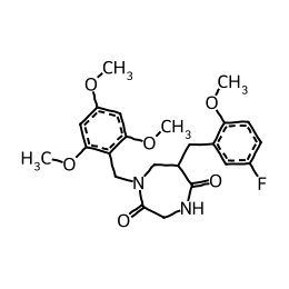 COc1cc(OC)c(CN2CC(Cc3cc(F)ccc3OC)C(=O)NCC2=O)c(OC)c1